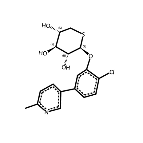 Cc1ccc(-c2ccc(Cl)c(O[C@@H]3SC[C@@H](O)[C@H](O)[C@H]3O)c2)cn1